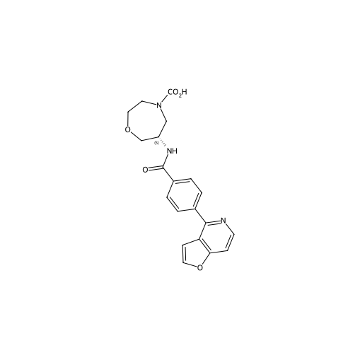 O=C(N[C@@H]1COCCN(C(=O)O)C1)c1ccc(-c2nccc3occc23)cc1